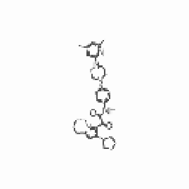 Cc1cc(C)nc(N2CCN(c3ccc(NC(=O)C(=O)c4c(C5CCCC5)cc5n4CCCC5)cc3)CC2)c1